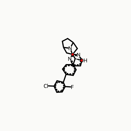 O[C@@H](c1ccc(-c2cc(Cl)ccc2F)cc1)C1CC2CCC(C1)N2c1ncccn1